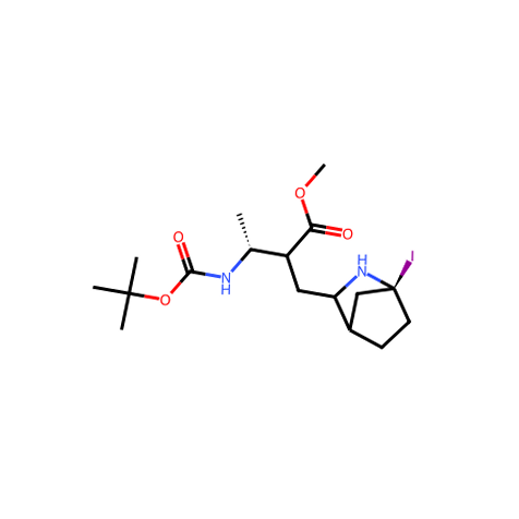 COC(=O)C(CC1N[C@]2(I)CCC1C2)[C@@H](C)NC(=O)OC(C)(C)C